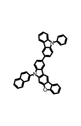 c1ccc(-n2c3ccccc3c3cc(-c4ccc5c(c4)c4cc6c(cc4n5-c4ccc5ccccc5c4)oc4ccccc46)ccc32)cc1